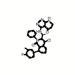 Cc1cc(-c2cccc3c(Cl)c([C@H](C)Nc4ncnc5[nH]ccc(=O)c45)n(-c4ccccc4)c(=O)c23)ccc1F